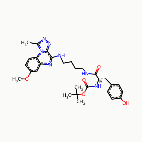 COc1ccc2c(c1)nc(NCCCCNC(=O)[C@H](Cc1ccc(O)cc1)NC(=O)OC(C)(C)C)c1nnc(C)n12